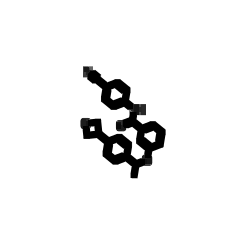 CC(Oc1cccc(C(=O)Nc2ccc(C#N)cc2)c1)c1ccc(C2COC2)cc1